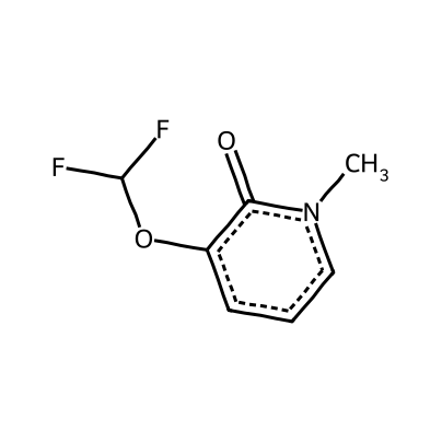 Cn1cccc(OC(F)F)c1=O